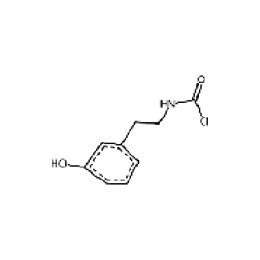 O=C(Cl)NCCc1cccc(O)c1